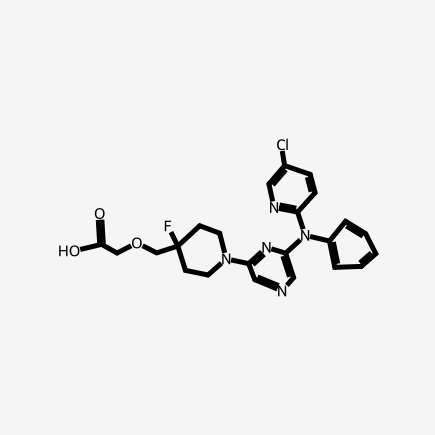 O=C(O)COCC1(F)CCN(c2cncc(N(c3ccccc3)c3ccc(Cl)cn3)n2)CC1